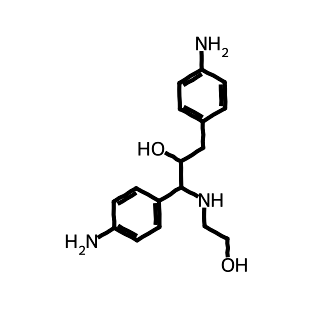 Nc1ccc(CC(O)C(NCCO)c2ccc(N)cc2)cc1